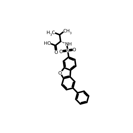 CC(C)[C@H](NS(=O)(=O)c1ccc2c(c1)oc1ccc(-c3ccccc3)cc12)C(=O)O